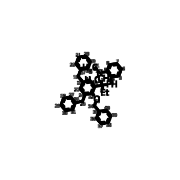 CCC(C)(Pc1ccccc1N(C)C)c1cc(Cc2ccccc2)cc(Cc2ccccc2)c1OCc1ccccc1